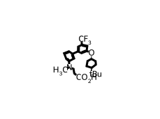 CN(CCC(=O)O)c1cccc(-c2cc(O[C@H]3CC[C@H](C(C)(C)C)CC3)cc(C(F)(F)F)c2)c1